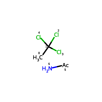 CC(Cl)(Cl)Cl.CC(N)=O